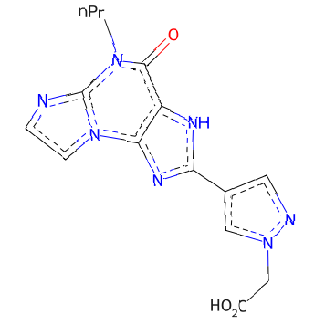 CCCn1c(=O)c2[nH]c(-c3cnn(CC(=O)O)c3)nc2n2ccnc12